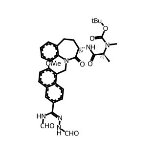 COc1ccc2cc(C(=NNC=O)NC=O)ccc2c1CN1C(=O)[C@@H](NC(=O)[C@H](C)N(C)C(=O)OC(C)(C)C)CCc2ccccc21